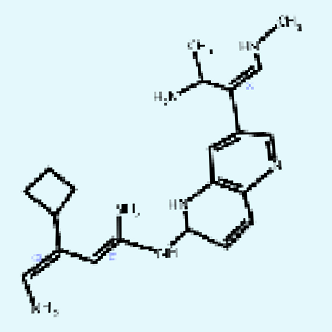 CN/C=C(/c1cnc2c(c1)NC(N/C(N)=C/C(=C\N)C1CCC1)C=C2)C(C)N